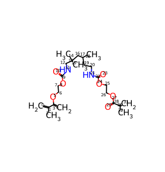 C=C(C)C(=C)OCCOC(=O)NCC(C)(C)CC(C)CCNC(=O)OCCOC(=O)C(=C)C